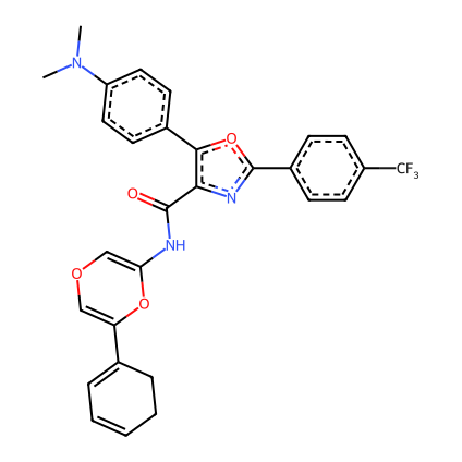 CN(C)c1ccc(-c2oc(-c3ccc(C(F)(F)F)cc3)nc2C(=O)NC2=COC=C(C3=CC=CCC3)O2)cc1